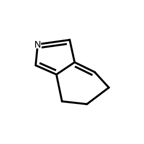 C1=NC=C2CCCC=C12